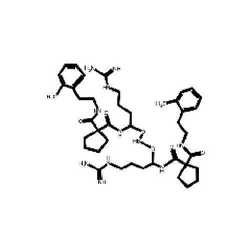 Cc1ccccc1CCNC(=O)C1(C(=O)NC(CCCNC(=N)N)OBOC(CCCNC(=N)N)NC(=O)C2(C(=O)NCCc3ccccc3C)CCCC2)CCCC1